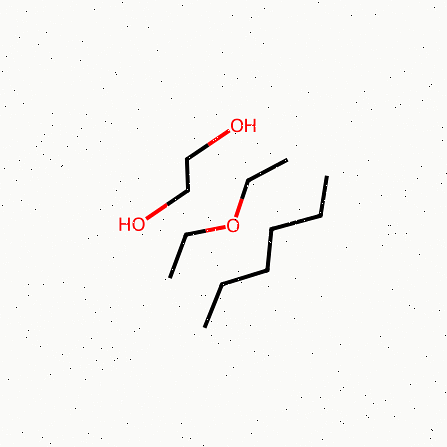 CCCCCC.CCOCC.OCCO